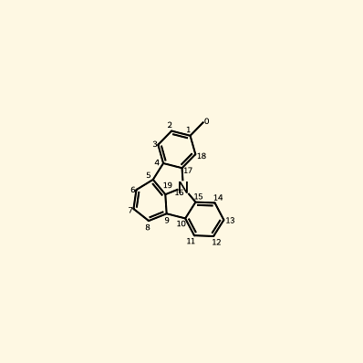 Cc1ccc2c3cccc4c5ccccc5n(c2c1)c43